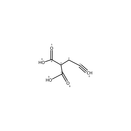 C#CCC(C(=O)O)C(=O)O